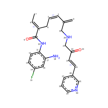 C=C(/C=C\C/C(=C\C)C(=O)Nc1ccc(F)cc1N)CNCC(=O)/C=C/c1cccnc1